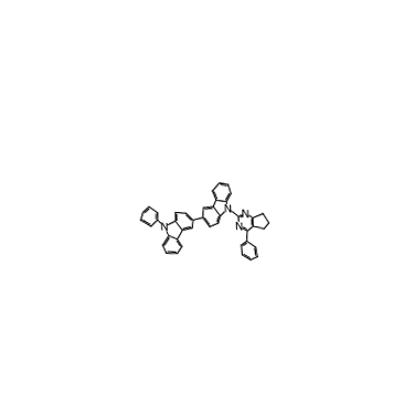 c1ccc(-c2nc(-n3c4ccccc4c4cc(-c5ccc6c(c5)c5ccccc5n6-c5ccccc5)ccc43)nc3c2CCC3)cc1